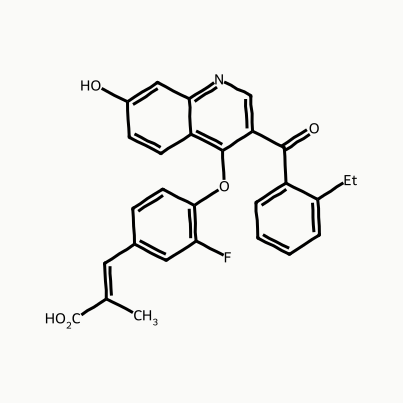 CCc1ccccc1C(=O)c1cnc2cc(O)ccc2c1Oc1ccc(/C=C(\C)C(=O)O)cc1F